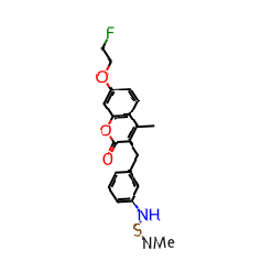 CNSNc1cccc(Cc2c(C)c3ccc(OCCF)cc3oc2=O)c1